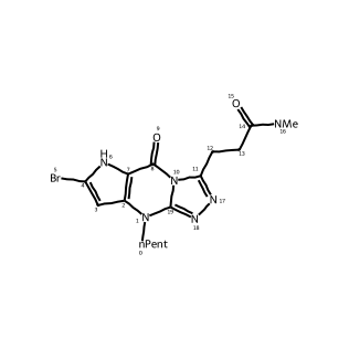 CCCCCn1c2cc(Br)[nH]c2c(=O)n2c(CCC(=O)NC)nnc12